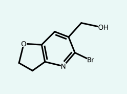 OCc1cc2c(nc1Br)CCO2